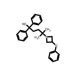 CC(C)(CCC(C#N)(c1ccccc1)c1ccccc1)N1CC(Oc2ccccc2)C1